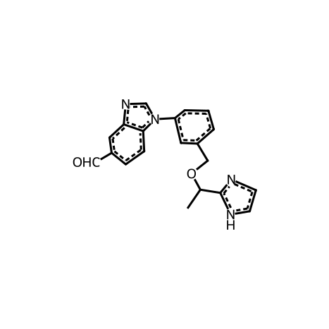 CC(OCc1cccc(-n2cnc3cc(C=O)ccc32)c1)c1ncc[nH]1